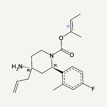 C=CC[C@@]1(N)CCN(C(=O)O/C(C)=C/C)[C@@H](c2ccc(F)cc2C)C1